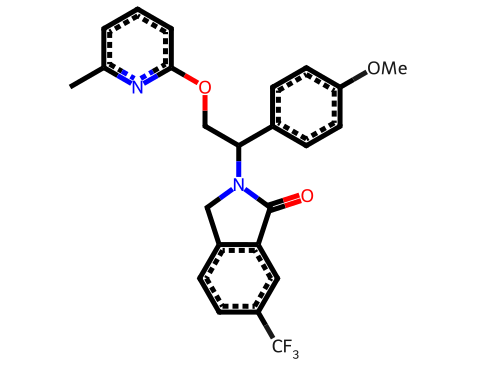 COc1ccc(C(COc2cccc(C)n2)N2Cc3ccc(C(F)(F)F)cc3C2=O)cc1